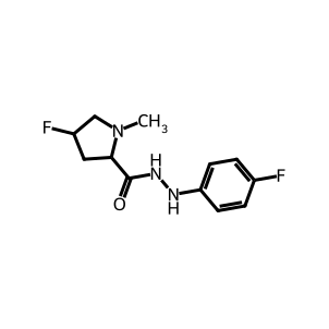 CN1CC(F)CC1C(=O)NNc1ccc(F)cc1